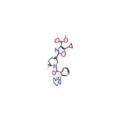 COC(=O)c1nc([C@@H]2CC[C@@H](C)N(C(=O)c3ccccc3-n3nccn3)C2)oc1C1CC1